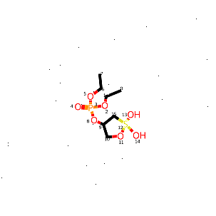 CCOP(=O)(OCC)OC1COS(O)(O)C1